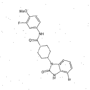 COc1ccc(NC(=O)C2CCC(n3c(=O)[nH]c4c(Br)cccc43)CC2)cc1F